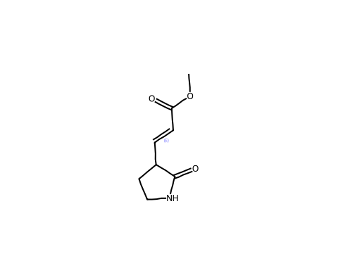 COC(=O)/C=C/C1CCNC1=O